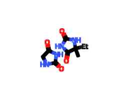 CCC1(C)NC(=O)NC1=O.O=C1CNC(=O)N1